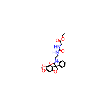 CCOC(=O)CNC(=O)NCCN1C(=O)C2(COc3cc4c(cc32)OCO4)c2ccccc21